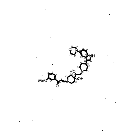 COc1cccc(C(=O)C=CN2CCC(O)(C(O)CN3CCC(c4c[nH]c5ccc(N6CCOCC6)cc45)CC3)CC2)c1